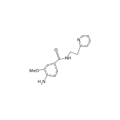 COc1cc(C(=O)NCCc2ccccn2)ccc1N